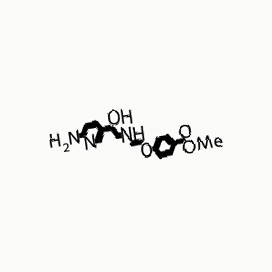 COC(=O)c1ccc(OCCNCC(O)c2ccc(N)nc2)cc1